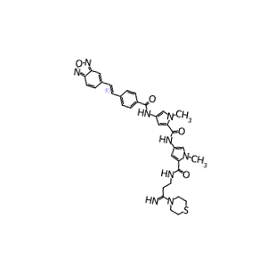 Cn1cc(NC(=O)c2cc(NC(=O)c3ccc(/C=C/c4ccc5nonc5c4)cc3)cn2C)cc1C(=O)NCCC(=N)N1CCSCC1